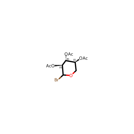 CC(=O)O[C@@H]1[C@@H](OC(C)=O)COC(Br)[C@H]1OC(C)=O